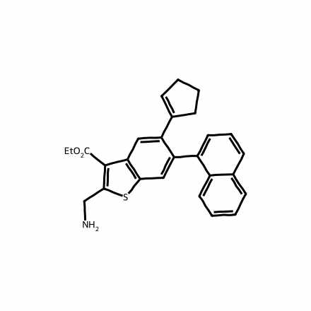 CCOC(=O)c1c(CN)sc2cc(-c3cccc4ccccc34)c(C3=CCCC3)cc12